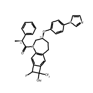 C[C@H](C(=O)N1C[C@@H](Oc2ccc(-n3ccnc3)cc2)CCc2cc3c(cc21)C(F)C3(O)C(F)(F)F)c1ccccc1